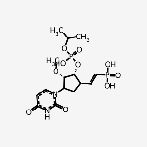 CO[C@H]1C(n2ccc(=O)[nH]c2=O)C[C@H](/C=C/P(=O)(O)O)[C@H]1OP(=O)(O)OC(C)C